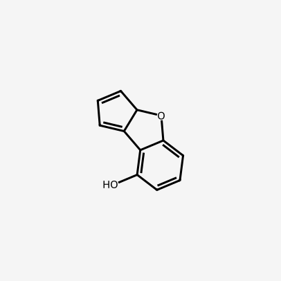 Oc1cccc2c1C1=CC=CC1O2